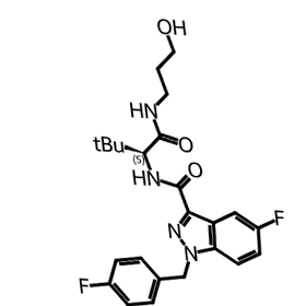 CC(C)(C)[C@H](NC(=O)c1nn(Cc2ccc(F)cc2)c2ccc(F)cc12)C(=O)NCCCO